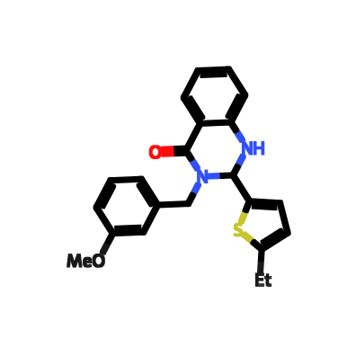 CCc1ccc(C2Nc3ccccc3C(=O)N2Cc2cccc(OC)c2)s1